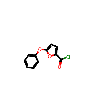 O=C(Cl)c1ccc(Oc2ccccc2)o1